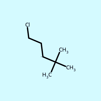 CC(C)(C)[CH]CCCl